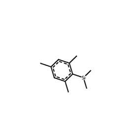 Cc1cc(C)c([Si](C)C)c(C)c1